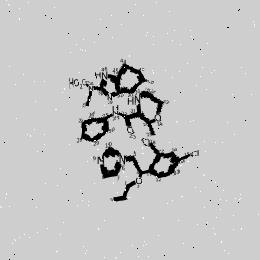 C=CCOC(Cn1ccnc1)c1ccc(Cl)cc1Cl.CC1=C(C(=O)Nc2ccccc2)NCCO1.CN(C(=O)O)c1nc2ccccc2[nH]1